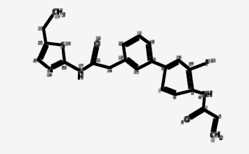 C=CC(=O)Nc1ccc(-c2cccc(CC(=O)Nc3ncc(CC)s3)c2)cc1F